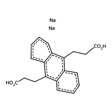 O=C(O)CCc1c2ccccc2c(CCC(=O)O)c2ccccc12.[Na].[Na]